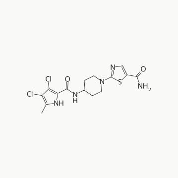 Cc1[nH]c(C(=O)NC2CCN(c3ncc(C(N)=O)s3)CC2)c(Cl)c1Cl